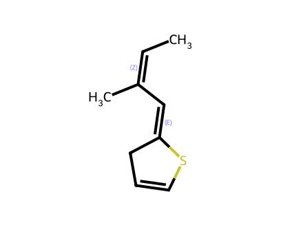 C/C=C(C)\C=C1/CC=CS1